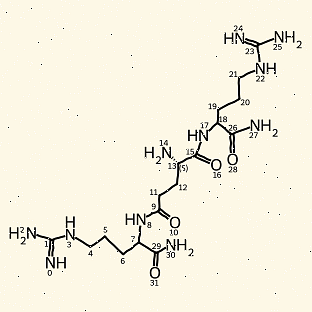 N=C(N)NCCCC(NC(=O)CC[C@H](N)C(=O)NC(CCCNC(=N)N)C(N)=O)C(N)=O